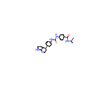 CC(C)NC(=O)c1ccc(NC(=O)Nc2ccc(-c3ccnc4[nH]ccc34)cc2)cc1